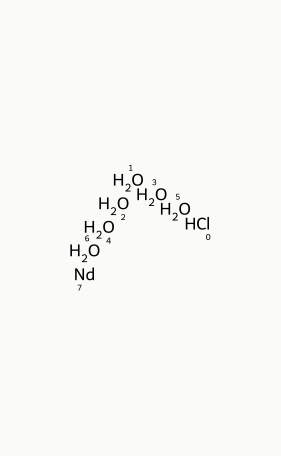 Cl.O.O.O.O.O.O.[Nd]